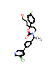 C[C@@H](c1ccc(-c2cncc(Cl)c2)cc1)N1CCC(CCCO)(c2ccc(F)cc2)OC1=O